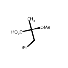 CO[C@@](C)(CC(C)C)C(=O)O